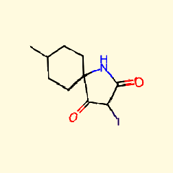 CC1CCC2(CC1)NC(=O)C(I)C2=O